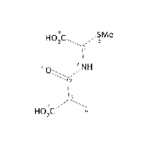 CSC(NC(=O)C(C)C(=O)O)C(=O)O